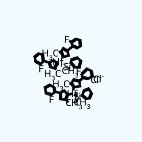 CC1=[C]([Hf]([C]2=C(C)C=C(c3ccccc3F)C2)=[Si](C)c2ccccc2)CC(c2ccccc2F)=C1.CC1=[C]([Hf]([C]2=C(C)C=C(c3ccccc3F)C2)=[Si](C)c2ccccc2)CC(c2ccccc2F)=C1.[Cl-].[Cl-]